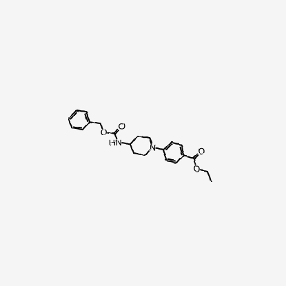 CCOC(=O)c1ccc(N2CCC(NC(=O)OCc3ccccc3)CC2)cc1